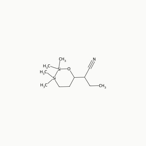 CCC(C#N)C1CC[Si](C)(C)[Si](C)(C)O1